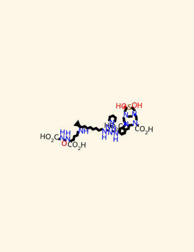 O=C(O)CNC(=O)NC(CCCCNC(CCCCCCCNc1nc(Nc2ccc(CC3CN(CC(=O)O)CCN4CCN(CCN3CC(=O)O)CC(O)=S=C(O)C4)cc2)nc(N2CCCCC2)n1)=C1CC1)C(=O)O